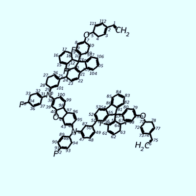 C=CC1=CCC(OC2=CC=C(C3(C4C(F)=CC=CC4F)C4=C(C=CC(C5=CCCC(N(C6=CCC(F)C=C6)C6=CC7OC8C=C(N(C9=CC=CC(c%10ccc%11c(c%10)C(C%10=C(F)C=CCC%10F)(c%10ccc(OC%12C=CC(C=C)=CC%12)cc%10)c%10ccccc%10-%11)C9)C9C=CC(F)=CC9)C=CC8C7C=C6)=C5)C4)c4ccccc43)CC2)C=C1